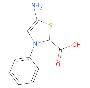 NC1=CN(c2ccccc2)C(C(=O)O)S1